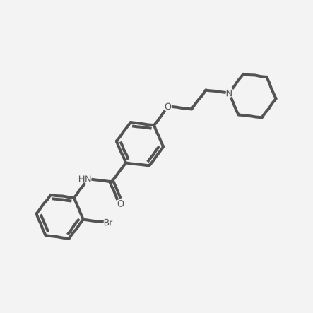 O=C(Nc1ccccc1Br)c1ccc(OCCN2CCCCC2)cc1